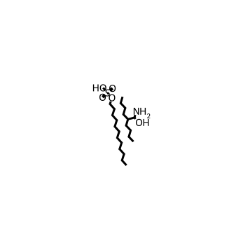 CCCCC(CCCC)C(N)O.CCCCCCCCCCCCOS(=O)(=O)O